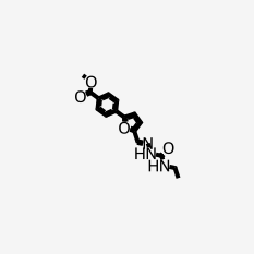 CCNC(=O)N/N=C/c1ccc(-c2ccc(C(=O)OC)cc2)o1